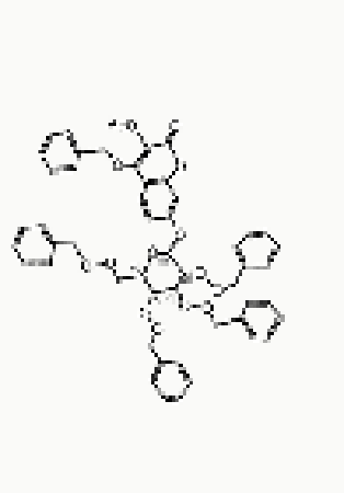 CC(=O)Oc1c(OCc2ccccc2)c2ccc(O[C@@H]3O[C@H](COOCc4ccccc4)[C@@H](OOCc4ccccc4)[C@H](OOCc4ccccc4)[C@H]3OOCc3ccccc3)cc2oc1=O